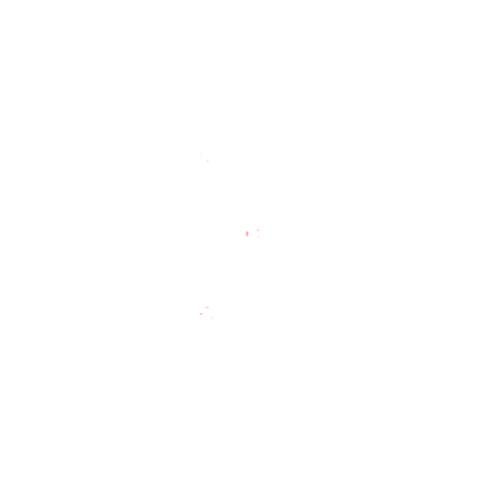 CCCOC(C)OC([S])CC